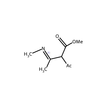 C/N=C(\C)C(C(C)=O)C(=O)OC